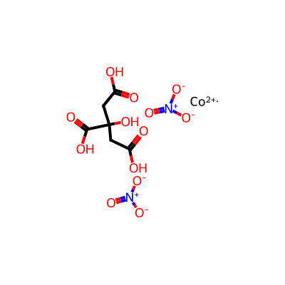 O=C(O)CC(O)(CC(=O)O)C(=O)O.O=[N+]([O-])[O-].O=[N+]([O-])[O-].[Co+2]